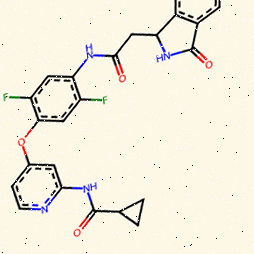 O=C(CC1NC(=O)c2ccccc21)Nc1cc(F)c(Oc2ccnc(NC(=O)C3CC3)c2)cc1F